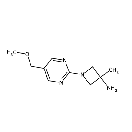 COCc1cnc(N2CC(C)(N)C2)nc1